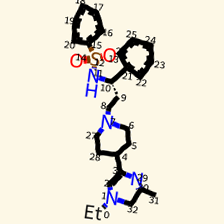 CCN1C=C(C2CCN(CC[C@H](NS(=O)(=O)c3ccccc3)c3ccccc3)CC2)N=C(C)C1